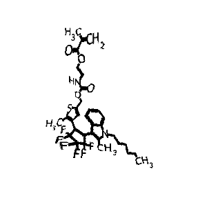 C=C(C)C(=O)OCCNC(=O)OCc1cc(C2=C(c3c(C)n(CCCCCC)c4ccccc34)C(F)(F)C(F)(F)C2(F)F)c(C)s1